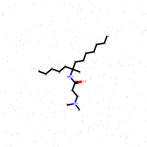 CCCCCCCC(C)(CCCCC)NC(=O)CCN(C)C